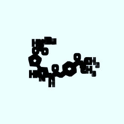 CC[C@H](C)NC(=O)O[C@@H]1CC[C@H](c2cc(NC(=O)Cc3ccc(C(=O)N(C)C)cc3)n[nH]2)C1